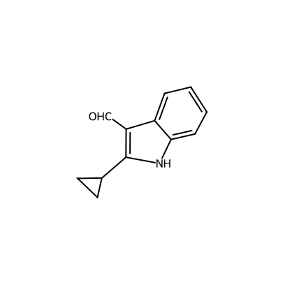 O=Cc1c(C2CC2)[nH]c2ccccc12